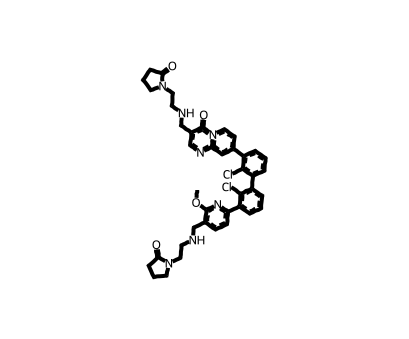 COc1nc(-c2cccc(-c3cccc(-c4ccn5c(=O)c(CNCCN6CCCC6=O)cnc5c4)c3Cl)c2Cl)ccc1CNCCN1CCCC1=O